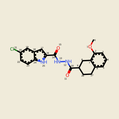 COc1cccc2c1CC(C(=O)NNC(=O)c1cc3cc(Cl)ccc3[nH]1)CC2